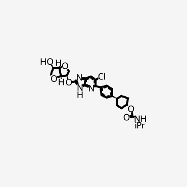 CC(C)NC(=O)O[C@H]1CC[C@@H](c2ccc(-c3nc4[nH]c(O[C@@H]5CO[C@H]6[C@@H]5OC[C@H]6O)nc4cc3Cl)cc2)CC1